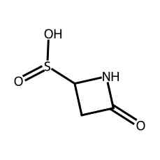 O=C1CC(S(=O)O)N1